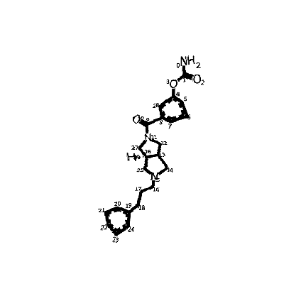 NC(=O)Oc1cccc(C(=O)N2CC3CN(CC[CH]c4ccccc4)C[C@H]3C2)c1